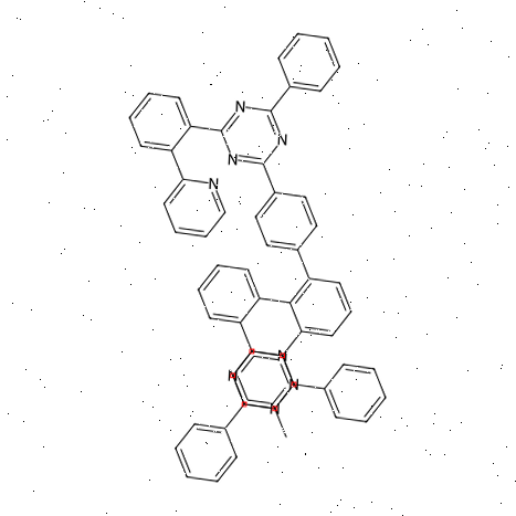 Cc1cccc(-c2cccc(-c3ccc(-c4nc(-c5ccccc5)nc(-c5ccccc5-c5ccccn5)n4)cc3)c2-c2ccccc2-c2nc(-c3ccccc3)nc(-c3ccccc3)n2)n1